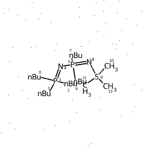 CCCCP(CCCC)(CCCC)=NP(CCCC)(CCCC)=NS(C)(C)C